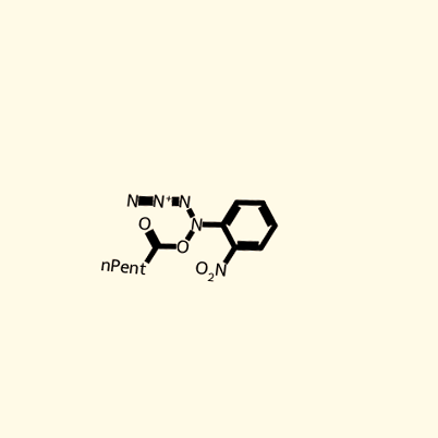 CCCCCC(=O)ON(N=[N+]=[N-])c1ccccc1[N+](=O)[O-]